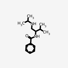 CC(C)NCC(NC(=O)c1ccccc1)C(C)C